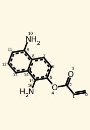 C=CC(=O)Oc1ccc2c(N)cccc2c1N